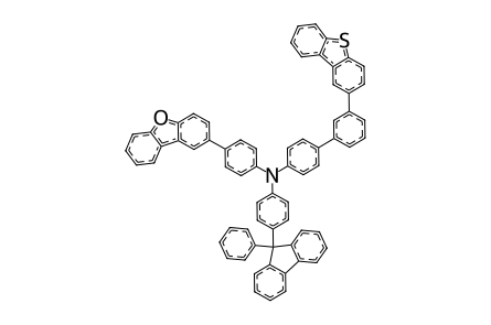 c1ccc(C2(c3ccc(N(c4ccc(-c5cccc(-c6ccc7sc8ccccc8c7c6)c5)cc4)c4ccc(-c5ccc6oc7ccccc7c6c5)cc4)cc3)c3ccccc3-c3ccccc32)cc1